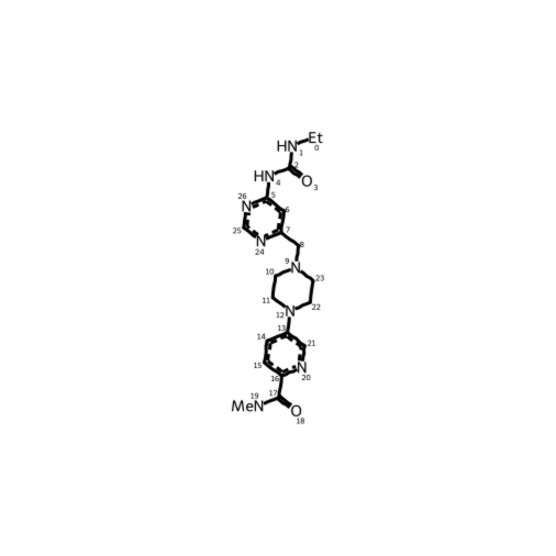 CCNC(=O)Nc1cc(CN2CCN(c3ccc(C(=O)NC)nc3)CC2)ncn1